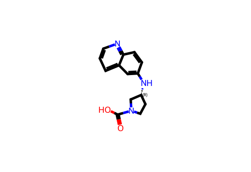 O=C(O)N1CC[C@@H](Nc2ccc3ncccc3c2)C1